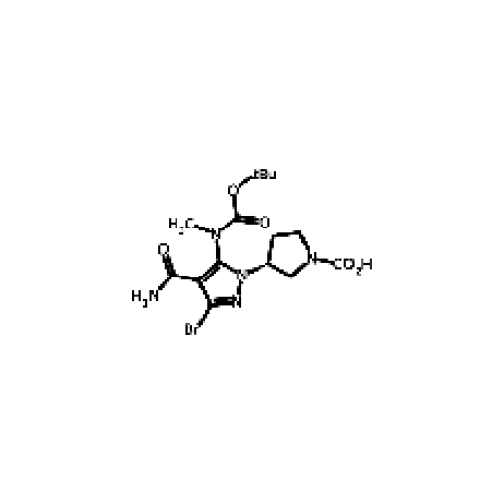 CN(C(=O)OC(C)(C)C)c1c(C(N)=O)c(Br)nn1[C@H]1CCN(C(=O)O)C1